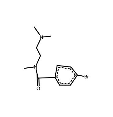 CN(C)CCN(C)C(=O)c1ccc(Br)cc1